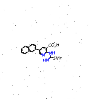 CSC(=N)Nc1ncc(-c2ccc3ccccc3c2)cc1C(=O)O